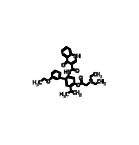 C=C(C)c1cc(-c2cccc(OCC)c2)c(NC(=O)c2c[nH]c3ccccc3c2=O)cc1OC(=O)CN(CC)CC